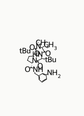 C[C@@H](C(=O)N[C@H](C(=O)N1CCC[C@H]1C(=O)NCc1cccc(N)c1)C(C)(C)C)N(C)C(=O)OC(C)(C)C